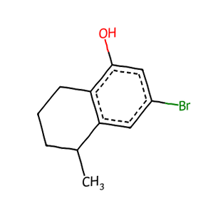 CC1CCCc2c(O)cc(Br)cc21